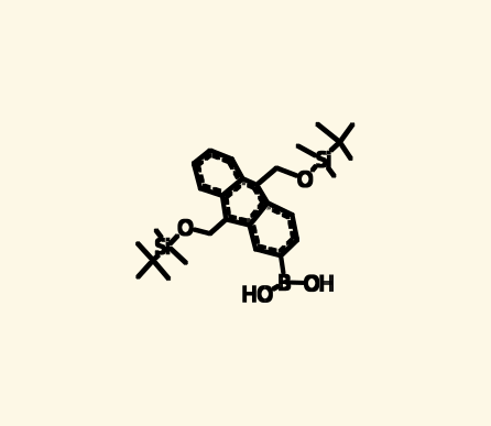 CC(C)(C)[Si](C)(C)OCc1c2ccccc2c(CO[Si](C)(C)C(C)(C)C)c2cc(B(O)O)ccc12